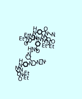 CCC(CC)N1C(=O)Cc2cnc(Nc3ccc(C(=O)N(CCN(C)C)c4nc(Nc5ccc(C(=O)NCCN6CCCC(C7CC(N8CCN(C)CC8)CCN7c7ccc(Nc8ncc9c(n8)N(C(CC)CC)C(=O)C9)cc7)C6)cc5)nc5c4CC(=O)N5C(CC)CC)cc3)nc21